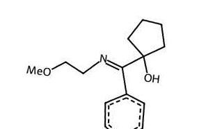 COCCN=C(c1ccccc1)C1(O)CCCC1